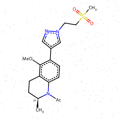 COc1c(-c2cnn(CCS(C)(=O)=O)c2)ccc2c1CC[C@H](C)N2C(C)=O